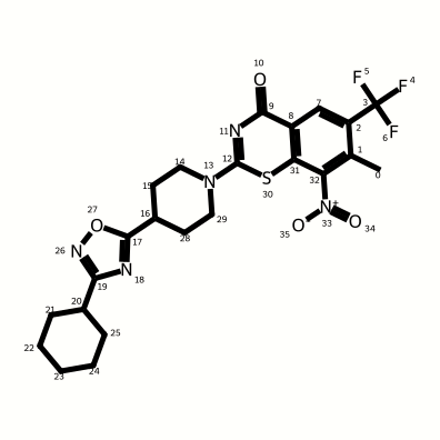 Cc1c(C(F)(F)F)cc2c(=O)nc(N3CCC(c4nc(C5CCCCC5)no4)CC3)sc2c1[N+](=O)[O-]